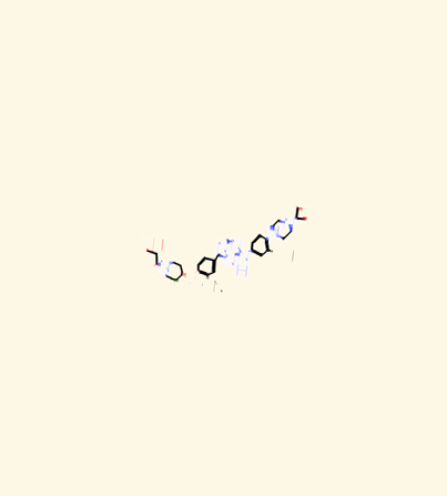 Cc1cc(Nc2ncnc(-c3ccc(OC4CCN(C(=O)CCO)C[C@@H]4F)c(C#N)c3)n2)ccc1N1CCN(C2COC2)CC1